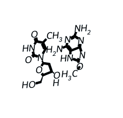 COc1nc2nc(N)nc(N)c2[nH]1.Cc1cn([C@H]2C[C@H](O)[C@@H](CO)O2)c(=O)[nH]c1=O